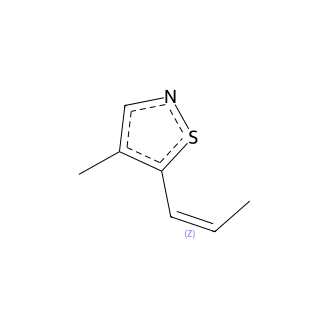 C/C=C\c1sncc1C